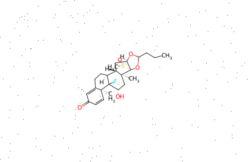 CCCC1O[C@@H]2C[C@H]3[C@@H]4CCC5=CC(=O)C=C[C@]5(C)[C@@]4(F)[C@@H](O)C[C@]3(C)[C@]2([S+](C)[O-])O1